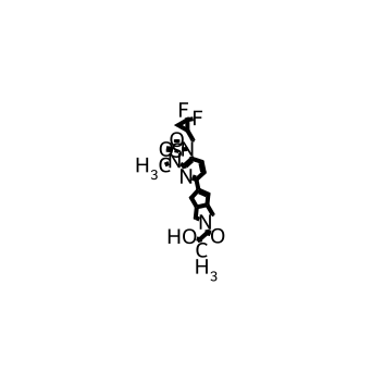 CC(O)C(=O)N1CC2C=C(c3ccc4c(n3)N(C)S(=O)(=O)N4CC3CC3(F)F)CC2C1